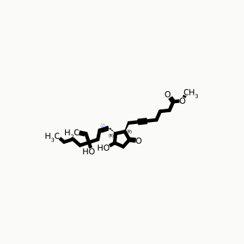 C=CC(O)(C/C=C\[C@H]1C(O)CC(=O)[C@@H]1CC#CCCCC(=O)OC)CCCC